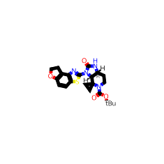 CC(C)(C)OC(=O)N1CC[C@H]2NC(=O)N(c3nc4c5c(ccc4s3)OCC5)[C@@H]2C12CC2